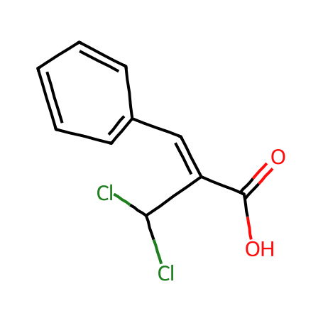 O=C(O)C(=Cc1ccccc1)C(Cl)Cl